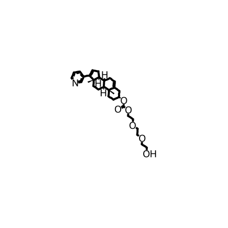 C[C@]12CC[C@H](OC(=O)OCCOCCOCCO)CC1=CC[C@@H]1[C@@H]2CC[C@]2(C)C(c3cccnc3)=CC[C@@H]12